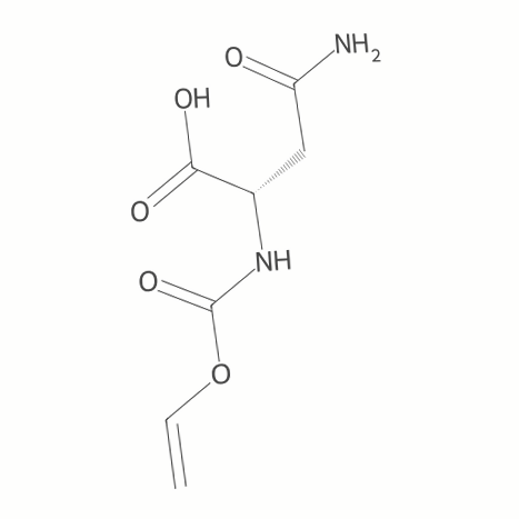 C=COC(=O)N[C@@H](CC(N)=O)C(=O)O